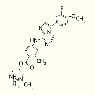 COc1ccc(-c2cnc3c(Nc4ccc(C(=O)OC(CN)CN(C)C)c(C)c4)nccn23)cc1F